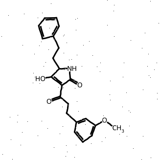 COc1cccc(CCC(=O)C2=C(O)C(CCc3ccccc3)NC2=O)c1